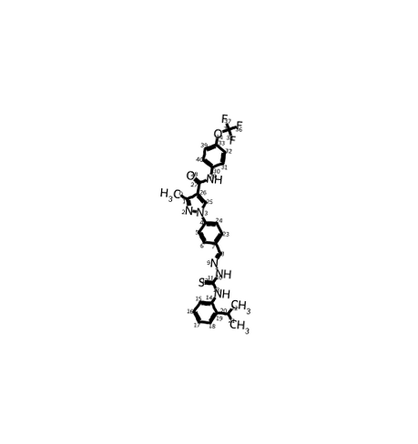 Cc1nn(-c2ccc(/C=N/NC(=S)Nc3ccccc3C(C)C)cc2)cc1C(=O)Nc1ccc(OC(F)(F)F)cc1